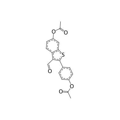 CC(=O)Oc1ccc(-c2sc3cc(OC(C)=O)ccc3c2C=O)cc1